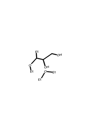 CCOC(CC)C(O)CO.CCOCC